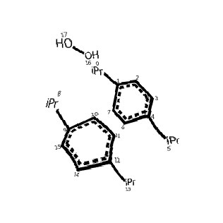 CC(C)c1ccc(C(C)C)cc1.CC(C)c1ccc(C(C)C)cc1.OO